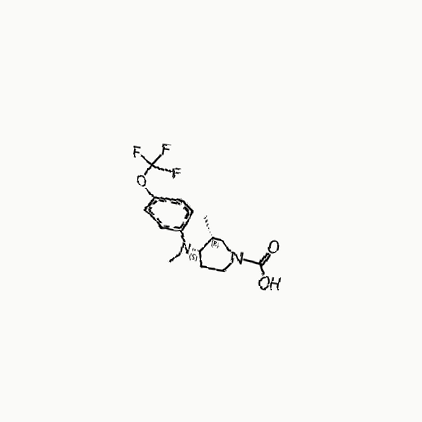 C[C@@H]1CN(C(=O)O)CC[C@@H]1N(C)c1ccc(OC(F)(F)F)cc1